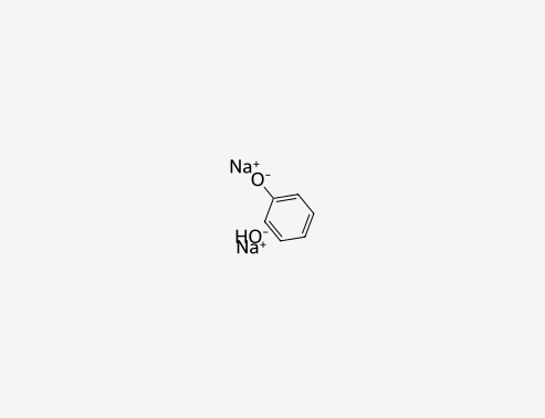 [Na+].[Na+].[O-]c1ccccc1.[OH-]